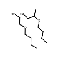 CCCCOC(C)CO.CCCCOCCO